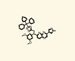 COc1cc(OC)cc(N(Cc2nnn(C(c3ccccc3)(c3ccccc3)c3ccccc3)n2)c2ccc3ncc(-c4cnn(C)c4)nc3n2)c1